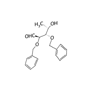 C[C@H](O)[C@H](OCc1ccccc1)[C@H](C=O)OCc1ccccc1